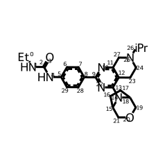 CCNC(=O)Nc1ccc(-c2nc3c(c(N4C5CCC4COC5)n2)CCN(C(C)C)C3)cc1